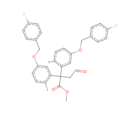 COC(=O)C(CC=O)(c1cc(OCc2ccc(F)cc2)ccc1I)c1cc(OCc2ccc(F)cc2)ccc1I